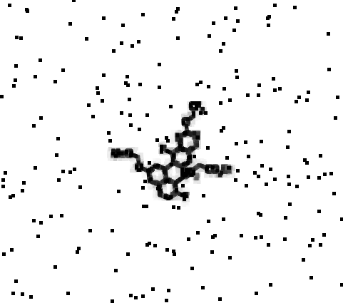 CCOC(=O)CC#Cc1c(F)ccc2cc(OCOC)cc(-c3c([N+](=O)[O-])cc4cnc(OCC(F)(F)F)nc4c3F)c12